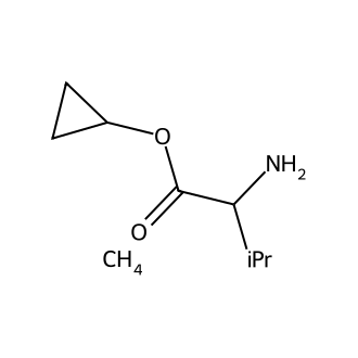 C.CC(C)C(N)C(=O)OC1CC1